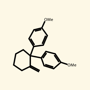 C=C1CCCCC1(c1ccc(OC)cc1)c1ccc(OC)cc1